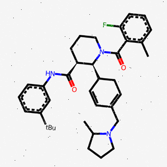 Cc1cccc(F)c1C(=O)N1CCC[C@H](C(=O)Nc2cccc(C(C)(C)C)c2)[C@@H]1C1C=CC(CN2CCCC2C)=CC1